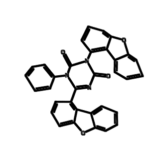 O=c1nc(-c2cccc3oc4ccccc4c23)n(-c2ccccc2)c(=O)n1-c1cccc2oc3ccccc3c12